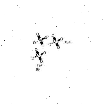 [Bi].[Fe+3].[Fe+3].[O]=[Mo](=[O])([O-])[O-].[O]=[Mo](=[O])([O-])[O-].[O]=[Mo](=[O])([O-])[O-]